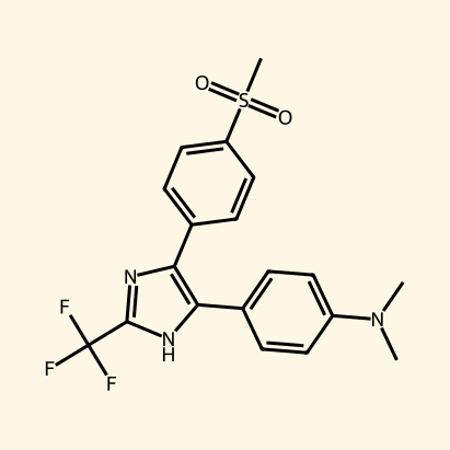 CN(C)c1ccc(-c2[nH]c(C(F)(F)F)nc2-c2ccc(S(C)(=O)=O)cc2)cc1